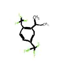 CC(C)c1cc(C(F)(F)F)ccc1C(F)(F)F